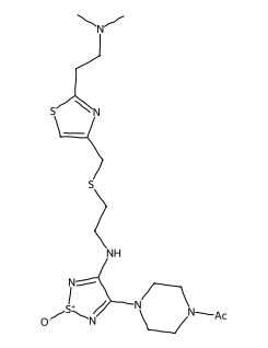 CC(=O)N1CCN(c2n[s+]([O-])nc2NCCSCc2csc(CCN(C)C)n2)CC1